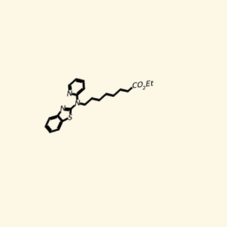 CCOC(=O)CCCCCCCN(c1ccccn1)c1nc2ccccc2s1